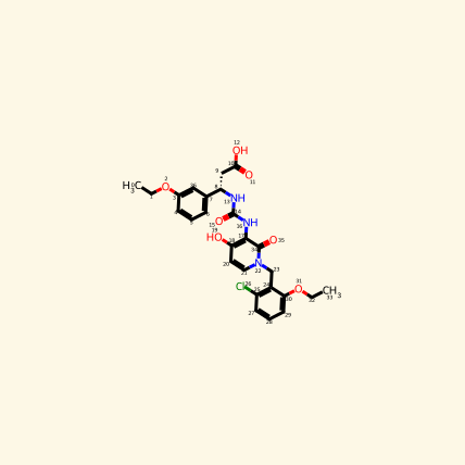 CCOc1cccc([C@H](CC(=O)O)NC(=O)Nc2c(O)ccn(Cc3c(Cl)cccc3OCC)c2=O)c1